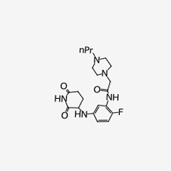 CCCN1CCN(CC(=O)Nc2cc(NC3CCC(=O)NC3=O)ccc2F)CC1